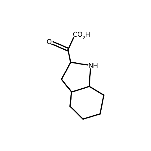 O=C(O)C(=O)C1CC2CCCCC2N1